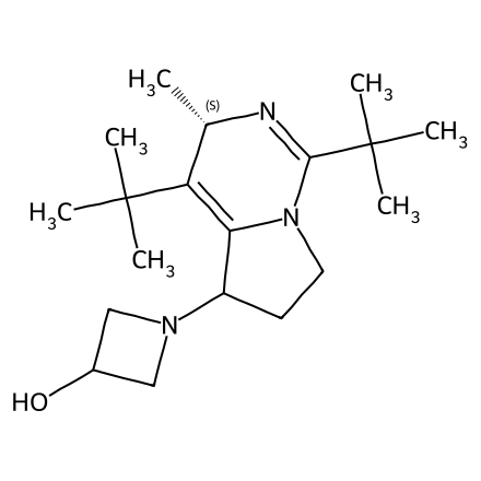 C[C@@H]1N=C(C(C)(C)C)N2CCC(N3CC(O)C3)C2=C1C(C)(C)C